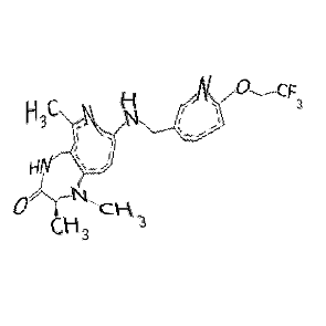 Cc1nc(NCc2ccc(OCC(F)(F)F)nc2)cc2c1NC(=O)[C@H](C)N2C